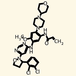 C=CC(=O)Nc1cc(Nc2cc(N3OCCC3c3cccc(Cl)c3Cl)ncn2)c(OC)cc1N1CCN(C2CCOCC2)CC1